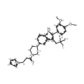 COc1ccc(-c2[nH]c3ccc(C4CCN(C(=O)CCn5cccc5)CC4)cc3c2CC(F)(F)F)cc1OC